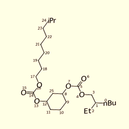 CCCCC(CC)COC(=O)OC1CCCC(OC(=O)OCCCCCCCC(C)C)C1